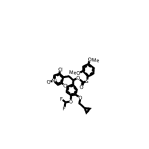 COc1ccc(SC(=O)OC(Cc2c(Cl)c[n+]([O-])cc2Cl)c2ccc(OC(F)F)c(OCC3CC3)c2)c(OC)c1